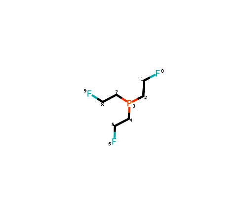 FCCP(CCF)CCF